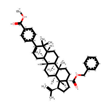 C=C(C)[C@@H]1CC[C@]2(C(=O)OCc3ccccc3)CC[C@]3(C)[C@H](CC[C@@H]4[C@@]5(C)CC=C(c6ccc(C(=O)OC(C)(C)C)cc6)C(C)(C)[C@@H]5CC[C@]43C)[C@@H]12